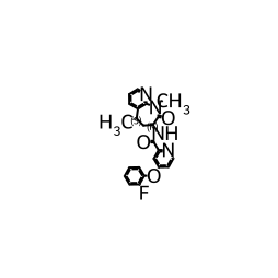 C[C@H]1C[C@@H](NC(=O)c2cc(Oc3ccccc3F)ccn2)C(=O)N(C)c2ncccc21